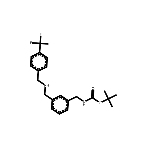 CC(C)(C)OC(=O)NCc1cccc(CNCc2ccc(C(F)(F)F)cc2)c1